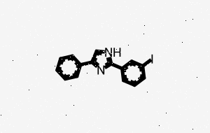 Ic1cccc(-c2nc(-c3ccccc3)c[nH]2)c1